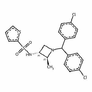 C[C@H]1[C@H](NS(=O)(=O)c2cccs2)CN1C(c1ccc(Cl)cc1)c1ccc(Cl)cc1